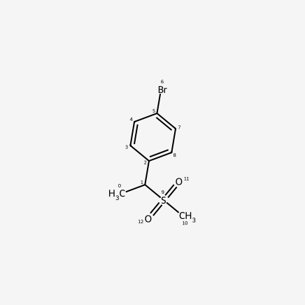 CC(c1ccc(Br)cc1)S(C)(=O)=O